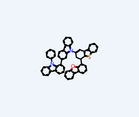 C1=C(n2c3ccccc3c3ccc(-c4cccc5c6ccccc6n(-c6ccccc6)c45)cc32)CC(c2cccc3c2oc2ccccc23)c2sc3ccccc3c21